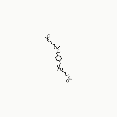 CC(=O)SCCCOC(C)OCC1CCC(COC(C)OCCCSC(C)=O)CC1